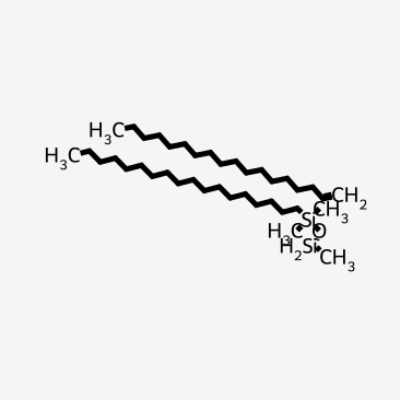 C=CCCCCCCCCCCCCCCCC.CCCCCCCCCCCCCCCCCC[Si](C)(C)O[SiH2]C